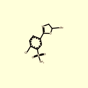 CCCCC1CN=C(c2ccc(Cl)c(S(N)(=O)=O)c2)O1